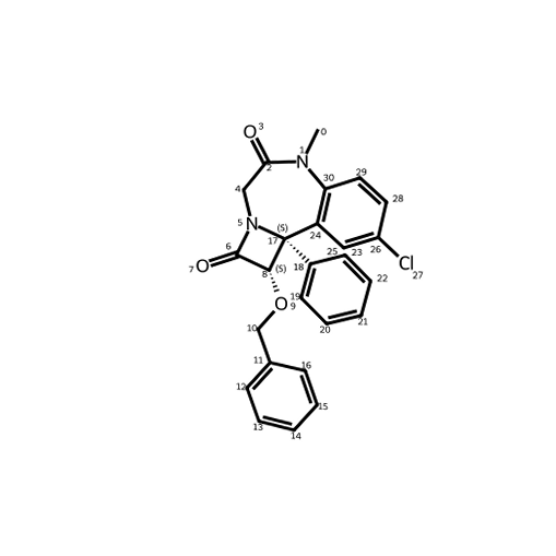 CN1C(=O)CN2C(=O)[C@@H](OCc3ccccc3)[C@]2(c2ccccc2)c2cc(Cl)ccc21